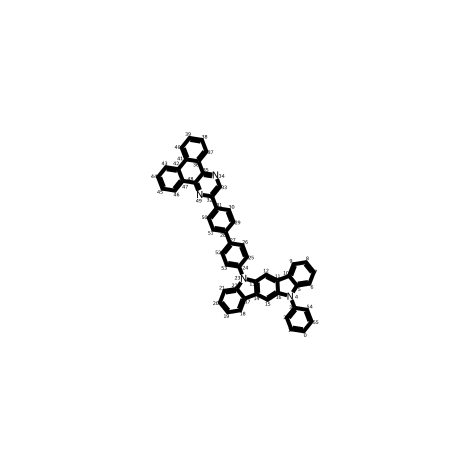 c1ccc(-n2c3ccccc3c3cc4c(cc32)c2ccccc2n4-c2ccc(-c3ccc(-c4cnc5c6ccccc6c6ccccc6c5n4)cc3)cc2)cc1